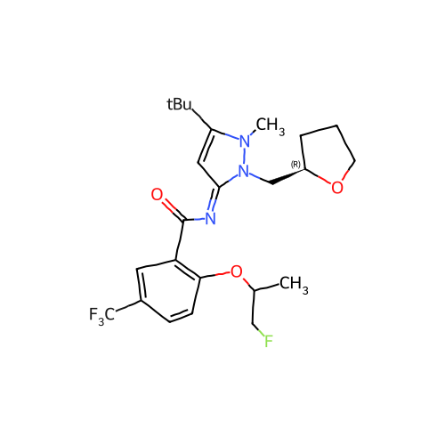 CC(CF)Oc1ccc(C(F)(F)F)cc1C(=O)N=c1cc(C(C)(C)C)n(C)n1C[C@H]1CCCO1